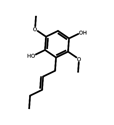 CCC=CCc1c(O)c(OC)cc(O)c1OC